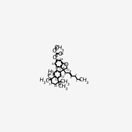 CCCC=CCC1(c2ccc3c(c2)C(C)(C)CCC3(C)C)COc2cc(OC(=O)OC)ccc21